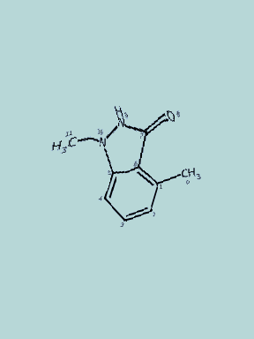 Cc1cccc2c1c(=O)[nH]n2C